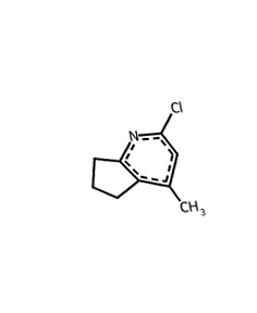 Cc1cc(Cl)nc2c1CCC2